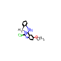 COc1ccc2nc(Cl)nc(Nc3ccccc3C)c2c1